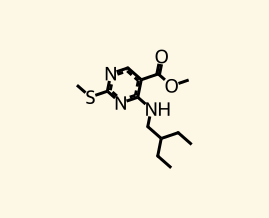 CCC(CC)CNc1nc(SC)ncc1C(=O)OC